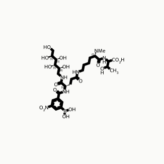 CN[C@@H](CCCCNC(=O)CC[C@H](NC(=O)c1cc(B(O)O)cc([N+](=O)[O-])c1)C(=O)NC[C@@H](O)[C@H](O)[C@@H](O)[C@@H](O)CO)C(=O)NC(C(=O)O)C(C)O